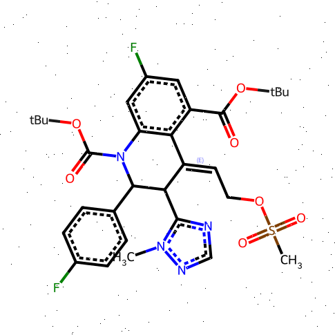 Cn1ncnc1C1/C(=C\COS(C)(=O)=O)c2c(C(=O)OC(C)(C)C)cc(F)cc2N(C(=O)OC(C)(C)C)C1c1ccc(F)cc1